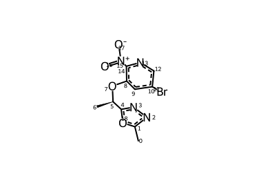 Cc1nnc([C@@H](C)Oc2cc(Br)cnc2[N+](=O)[O-])o1